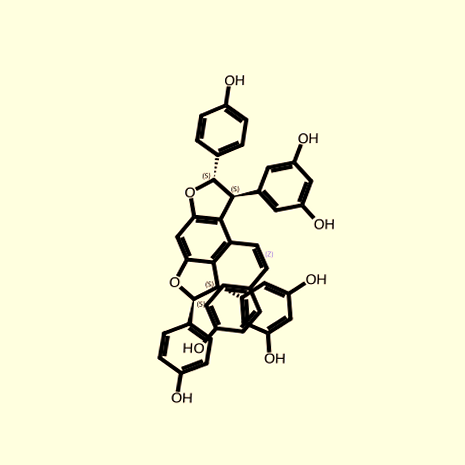 Oc1ccc(/C=C\c2c3c(cc4c2[C@H](c2cc(O)cc(O)c2)[C@@H](c2ccc(O)cc2)O4)O[C@H](c2ccc(O)cc2)[C@H]3c2cc(O)cc(O)c2)cc1